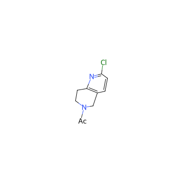 CC(=O)N1CCc2nc(Cl)ccc2C1